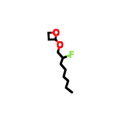 CCCCCCC(F)COC1CCO1